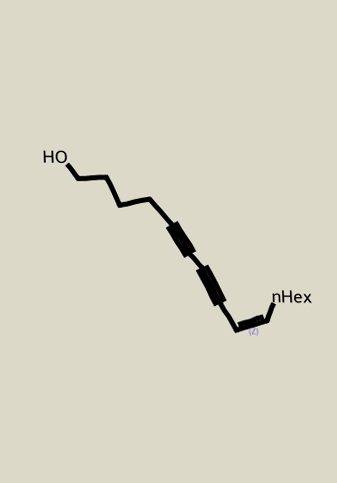 CCCCCC/C=C\C#CC#CCCCCO